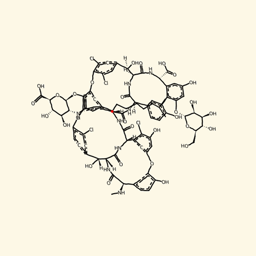 CN[C@H]1C(=O)N[C@H]2C(=O)N[C@H](C(=O)N[C@H]3C(=O)N[C@H]4C(=O)N[C@H](C(=O)N[C@H](C(=O)O)c5cc(O)cc(O[C@H]6O[C@H](CO)[C@@H](O)[C@H](O)[C@@H]6O)c5-c5cc4ccc5O)[C@H](O)c4cc(Cl)c(c(Cl)c4)Oc4cc3cc(c4O[C@@H]3O[C@H](C(=O)O)[C@@H](O)[C@H](O)[C@H]3NC(=O)CCCCCCCCC(C)C)Oc3ccc(cc3Cl)[C@H]2O)c2cc(cc(O)c2Cl)Oc2cc1ccc2O